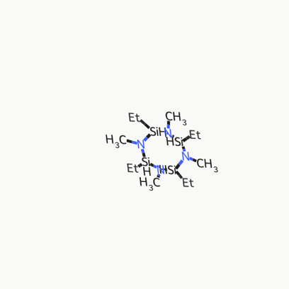 CC[SiH]1N(C)[SiH](CC)N(C)[SiH](CC)N(C)[SiH](CC)N1C